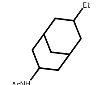 CCC1CC2CC(C1)CC(NC(C)=O)C2